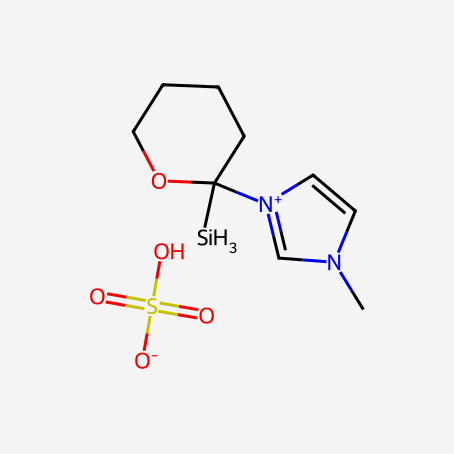 Cn1cc[n+](C2([SiH3])CCCCO2)c1.O=S(=O)([O-])O